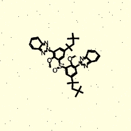 COc1c(-n2nc3ccccc3n2)cc(C(C)(C)CC(C)(C)C)cc1[S+]([O-])c1cc(C(C)(C)CC(C)(C)C)cc(-n2nc3ccccc3n2)c1OC